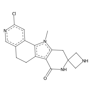 Cn1c2c(c3c1-c1cc(Cl)ncc1CC3)C(=O)NC1(CNC1)C2